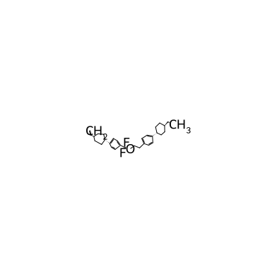 C=C[C@H]1CC[C@H](c2ccc(C(F)(F)OCCc3ccc([C@H]4CC[C@H](CC)CC4)cc3)cc2)CC1